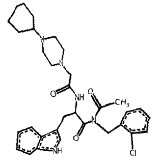 CC(=O)N(Cc1ccccc1Cl)C(=O)C(Cc1c[nH]c2ccccc12)NC(=O)CN1CCN(C2CCCCC2)CC1